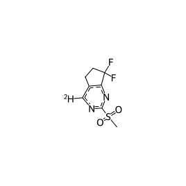 [2H]c1nc(S(C)(=O)=O)nc2c1CCC2(F)F